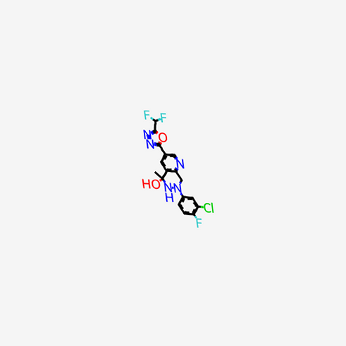 CC1(O)NN(c2ccc(F)c(Cl)c2)Cc2ncc(-c3nnc(C(F)F)o3)cc21